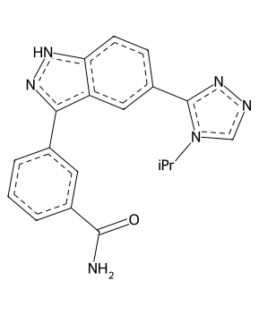 CC(C)n1cnnc1-c1ccc2[nH]nc(-c3cccc(C(N)=O)c3)c2c1